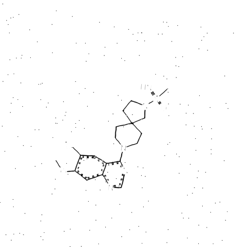 COc1cc2ncnc(N3CCC4(CC3)CCN(S(C)(=N)=O)C4)c2cc1Cl